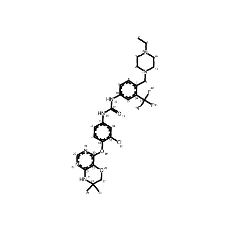 CCN1CCN(Cc2ccc(NC(=O)Nc3ccc(Oc4ncnc5c4OCC(C)(C)N5)c(Cl)c3)cc2C(F)(F)F)CC1